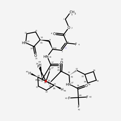 CCOC(=O)/C(F)=C\[C@H](C[C@@H]1CCNC1=O)NC(=O)[C@H]1[C@H]2CC[C@H](CC2(F)F)N1C(=O)[C@H](CC1CCC1)NC(=O)C(F)(F)F